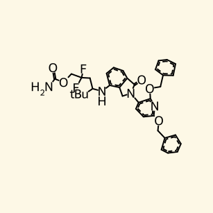 CC(C)(C)C(CC(F)(F)COC(N)=O)Nc1cccc2c1CN(c1ccc(OCc3ccccc3)nc1OCc1ccccc1)C2=O